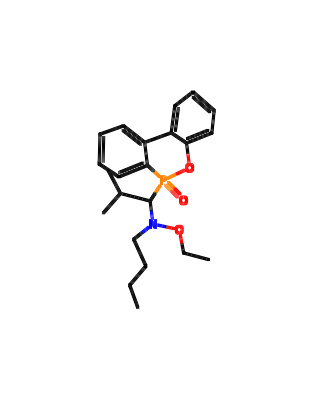 CCCCN(OCC)C(C(C)C)P1(=O)Oc2ccccc2-c2ccccc21